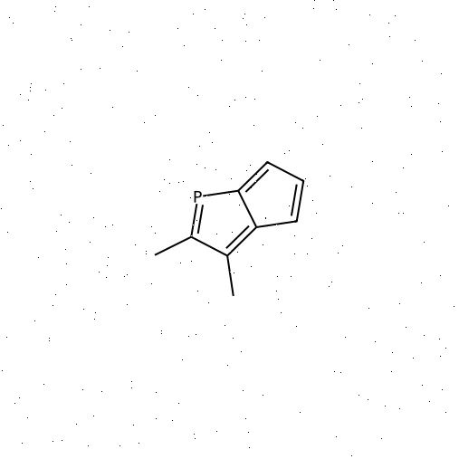 CC1=PC2=CC=CC2=C1C